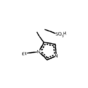 CCn1cncc1C.CS(=O)(=O)O